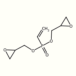 C=CP(=O)(OCC1CO1)OCC1CO1